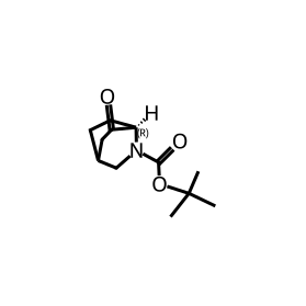 CC(C)(C)OC(=O)N1CC2CC[C@@H]1C(=O)C2